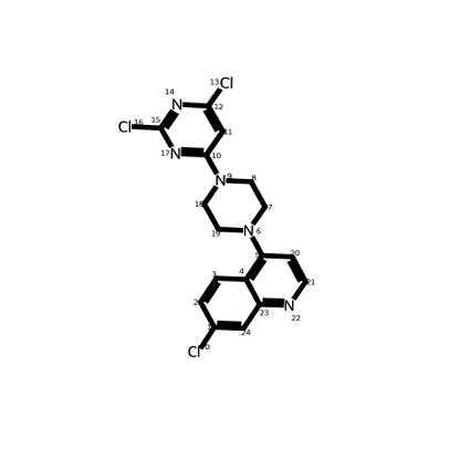 Clc1ccc2c(N3CCN(c4cc(Cl)nc(Cl)n4)CC3)ccnc2c1